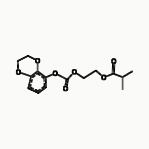 CC(C)C(=O)OCCOC(=O)Oc1cccc2c1OCCO2